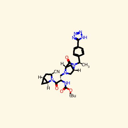 C[C@H](c1ccc(-c2nnn[nH]2)cc1)N1C(=O)[C@@H]2C[C@H]1CN2C[C@H](NC(=O)OC(C)(C)C)C(=O)N1[C@H](C#N)C[C@@H]2C[C@@H]21